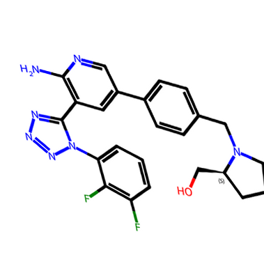 Nc1ncc(-c2ccc(CN3CCC[C@H]3CO)cc2)cc1-c1nnnn1-c1cccc(F)c1F